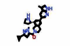 Cc1c[nH]c2ncc(-c3cc4c(c([C@@H]5CCCN5)c3)CN(C(=O)c3cc(C5CC5)nn3C)CC4)cc12